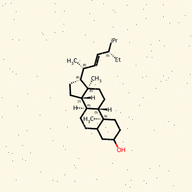 CC[C@H](C=C[C@@H](C)[C@H]1CC[C@H]2[C@@H]3CCC4CC(O)CC[C@]4(C)[C@H]3CC[C@]12C)C(C)C